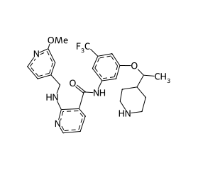 COc1cc(CNc2ncccc2C(=O)Nc2cc(OC(C)C3CCNCC3)cc(C(F)(F)F)c2)ccn1